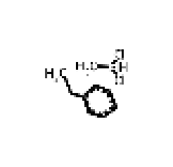 CCc1ccccc1.C[SiH](Cl)Cl